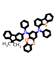 CC1(C)c2ccccc2-c2cc(N(c3ccccc3)c3cc(N(c4ccccc4)c4cccc5c4sc4ccccc45)cc4c3Oc3ccccc3S4)ccc21